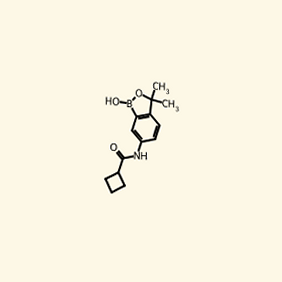 CC1(C)OB(O)c2cc(NC(=O)C3CCC3)ccc21